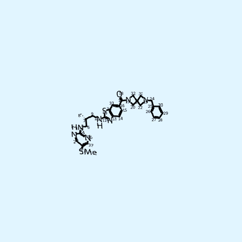 CSc1cnc(NC[C@H](C)CNc2nc3ccc(C(=O)N4CC5(CN(Cc6ccccc6)C5)C4)cc3s2)nc1